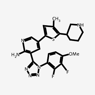 COc1ccc(-n2nnnc2-c2cc(-c3cc(C)c(C4CCCNC4)s3)cnc2N)c(F)c1F